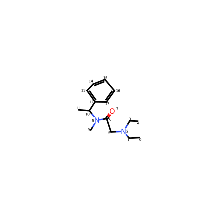 CCN(CC)CC(=O)N(C)C(C)c1ccccc1